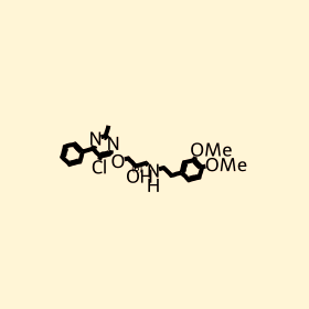 COc1ccc(CCNC[C@H](O)COc2nc(C)nc(-c3ccccc3)c2Cl)cc1OC